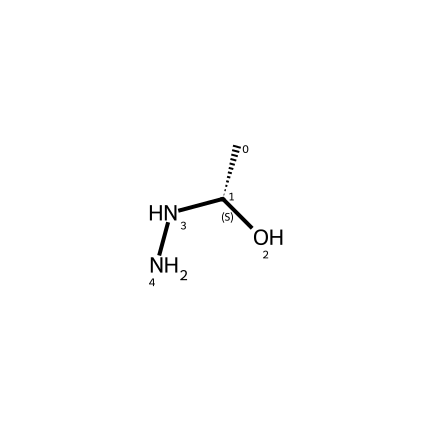 C[C@H](O)NN